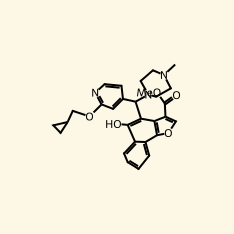 COC(=O)c1coc2c1c(C(c1ccnc(OCC3CC3)c1)N1CCN(C)CC1)c(O)c1ccccc12